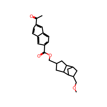 COCC1CC2CC1C1CC(COC(=O)c3ccc4cc(C(C)=O)ccc4c3)CC21